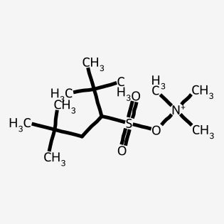 CC(C)(C)CC(C(C)(C)C)S(=O)(=O)O[N+](C)(C)C